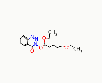 CCOCCCCC(OCC)On1nnc2ccccc2c1=O